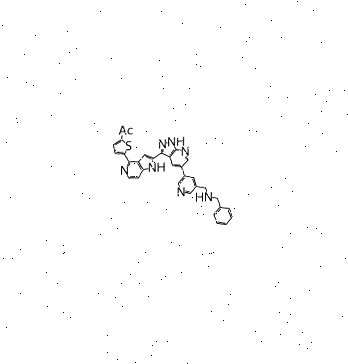 CC(=O)c1ccc(-c2nccc3[nH]c(-c4n[nH]c5ncc(-c6cncc(CNCc7ccccc7)c6)cc45)cc23)s1